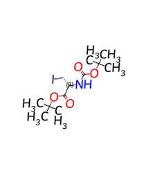 CC(C)(C)OC(=O)N[C@@H](CI)C(=O)OC(C)(C)C